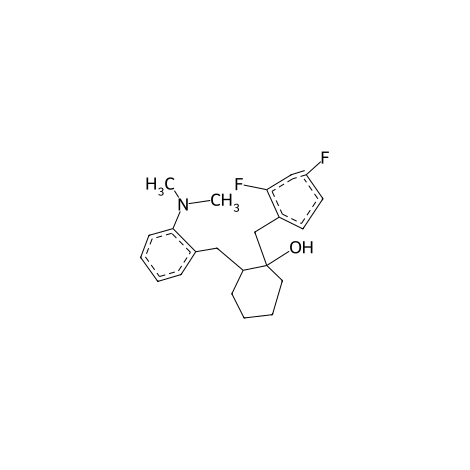 CN(C)c1ccccc1CC1CCCCC1(O)Cc1ccc(F)cc1F